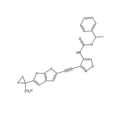 CC(OC(=O)Nc1conc1C#Cc1cc2cc(C3(C(=O)O)CC3)sc2s1)c1ccccc1